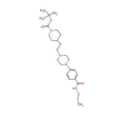 CCCNC(=O)c1ccc(N2CCN(CCC3CCN(C(=O)OC(C)(C)C)CC3)CC2)cc1